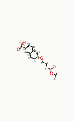 CCOC(=O)CCCOc1ccc2cc(C(=O)O)ccc2c1